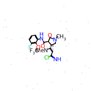 CN/C(=C\C(=N)Cl)[C@H]1CN(C)C(=O)C1C(=O)Nc1cccc(F)c1OC(F)(F)F